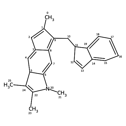 CC1=CC2=CC3C(=CC2=C1CC1C=Cc2ccccc21)N(C)C(C)=C3C